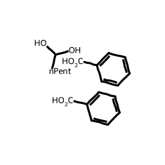 CCCCCC(O)O.O=C(O)c1ccccc1.O=C(O)c1ccccc1